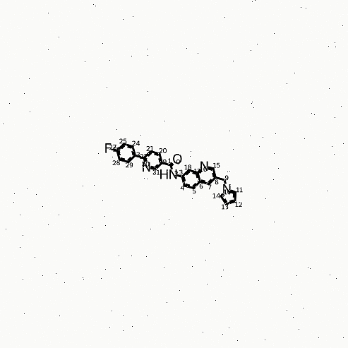 O=C(Nc1ccc2cc(Cn3cccc3)cnc2c1)c1ccc(-c2ccc(F)cc2)nc1